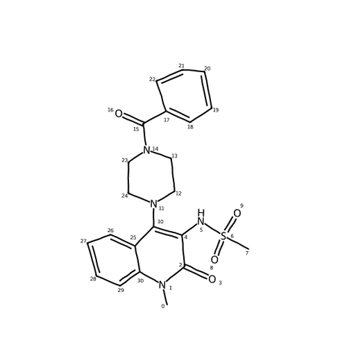 Cn1c(=O)c(NS(C)(=O)=O)c(N2CCN(C(=O)c3ccccc3)CC2)c2ccccc21